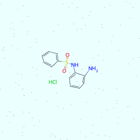 Cl.Nc1ccccc1NS(=O)(=O)c1ccccc1